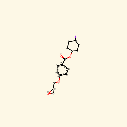 O=C(OC1CCC(I)CC1)c1ccc(OCC2CO2)cc1